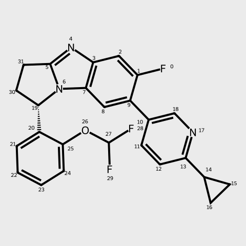 Fc1cc2nc3n(c2cc1-c1ccc(C2CC2)nc1)[C@H](c1ccccc1OC(F)F)CC3